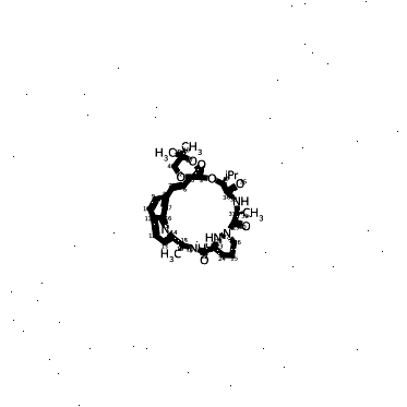 CC(C)[C@@H]1OC(=O)[C@@]2(/C=C/c3ccc4ccc(nc4c3)[C@@H](C)NC(=O)[C@@H]3CCCN(N3)C(=O)[C@H](C)NC1=O)COC(C)(C)CO2